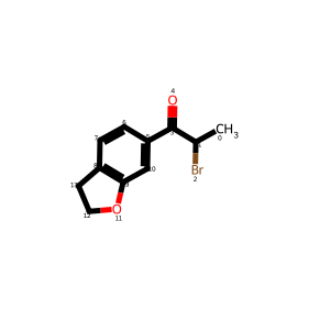 CC(Br)C(=O)c1ccc2c(c1)OCC2